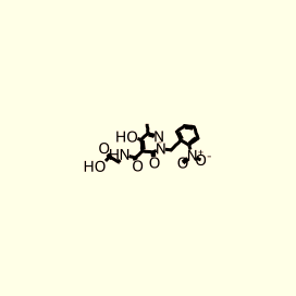 Cc1nn(Cc2ccccc2[N+](=O)[O-])c(=O)c(C(=O)NCC(=O)O)c1O